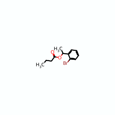 CCCC(=O)OC(C)c1ccccc1Br